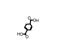 O=C(O)C1=C[C]C(C(=O)O)C=C1